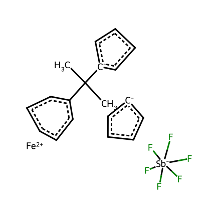 CC(C)(c1ccccc1)[c-]1cccc1.[F][Sb-]([F])([F])([F])([F])[F].[Fe+2].c1cc[cH-]c1